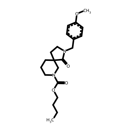 CCCCOC(=O)N1CCCC2(CCN(Cc3ccc(OC)cc3)C2=O)C1